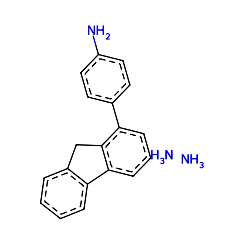 N.N.Nc1ccc(-c2cccc3c2Cc2ccccc2-3)cc1